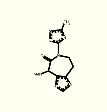 CNC1C(=O)N(c2nsc(C)n2)CCc2ncsc21